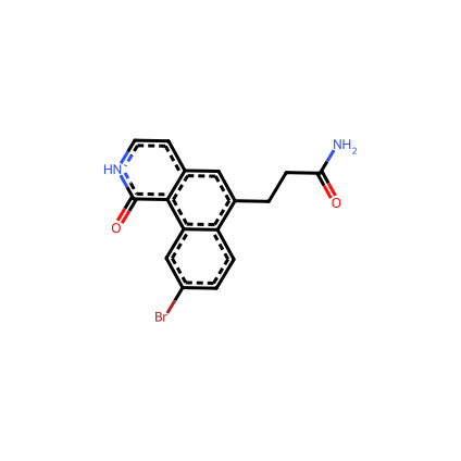 NC(=O)CCc1cc2cc[nH]c(=O)c2c2cc(Br)ccc12